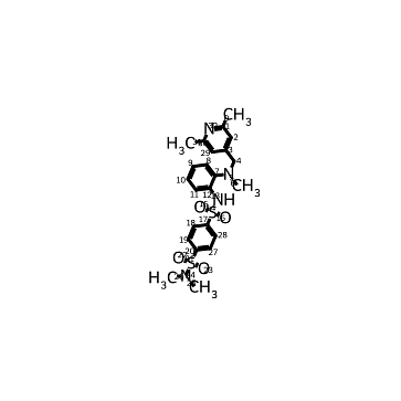 Cc1cc(CN(C)c2ccccc2NS(=O)(=O)c2ccc(S(=O)(=O)N(C)C)cc2)cc(C)n1